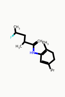 C=C(NC1=C(C)CCC(C(C)C)=C1)C(C)CC(C)F